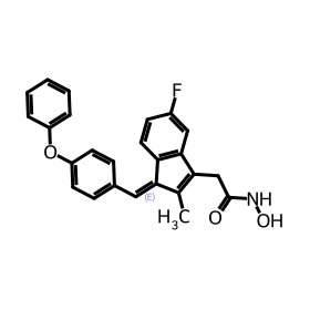 CC1=C(CC(=O)NO)c2cc(F)ccc2/C1=C\c1ccc(Oc2ccccc2)cc1